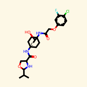 CC(C)C1NC(C(=O)NC23CCC(NC(=O)COc4ccc(Cl)c(F)c4)(CC2)C(O)C3)CO1